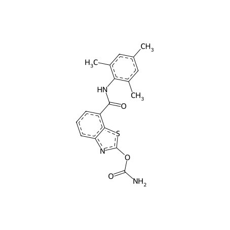 Cc1cc(C)c(NC(=O)c2cccc3nc(OC(N)=O)sc23)c(C)c1